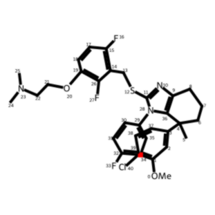 COc1cc(C2(C)CCCc3nc(SCc4c(F)ccc(OCCN(C)C)c4F)n(-c4ccc(F)cc4)c32)ccc1Cl